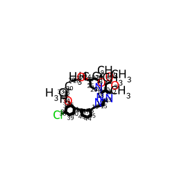 COC(=O)[C@@H](OC(C)(C)C)c1c(C)nc2cc3nn2c1N1CCC(C)(CC1)OCCCC[C@H](C)Oc1cc(Cl)ccc1-c1cccc-3c1